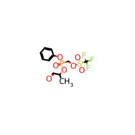 CC(C=O)OP(=O)(COS(=O)(=O)C(F)(F)F)Oc1ccccc1